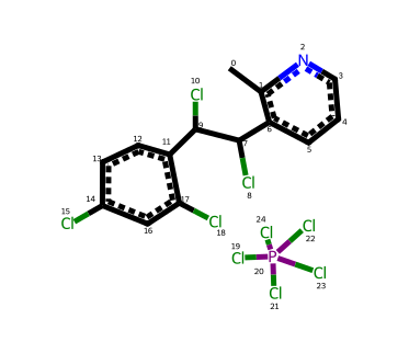 Cc1ncccc1C(Cl)C(Cl)c1ccc(Cl)cc1Cl.ClP(Cl)(Cl)(Cl)Cl